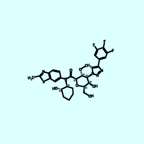 CO[C@@H]1[C@@H](n2cc(-c3cc(F)c(F)c(F)c3)nn2)[C@@H](O)[C@@H](CO)O[C@H]1C(=O)N(c1ccc2nc(C)sc2c1)[C@H]1CCCC[C@@H]1O